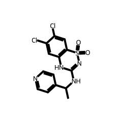 CC(NC1=NS(=O)(=O)c2cc(Cl)c(Cl)cc2N1)c1ccncc1